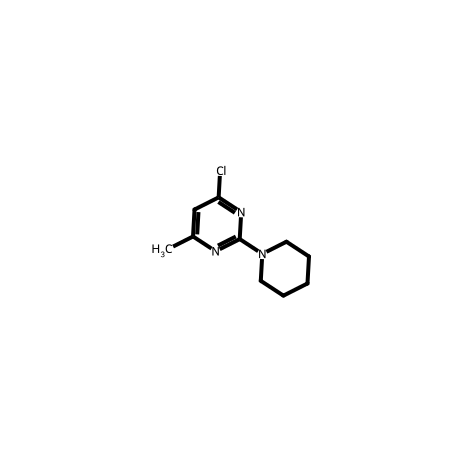 Cc1cc(Cl)nc(N2CCCCC2)n1